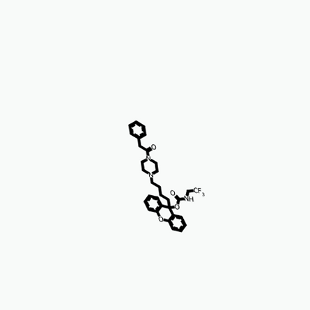 O=C(NCC(F)(F)F)OC1(CCCCN2CCN(C(=O)Cc3ccccc3)CC2)c2ccccc2Oc2ccccc21